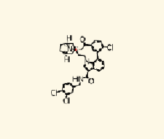 CCc1cccc2c(C(=O)NCc3ccc(Cl)c(Cl)c3)cn(CCCN3[C@@H]4CC[C@H]3C[C@H](CC(=O)c3ccc(Cl)cc3)C4)c12